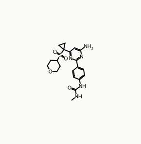 CNC(=O)Nc1ccc(-c2nc(N)cc(C3(S(=O)(=O)C4CCOCC4)CC3)n2)cc1